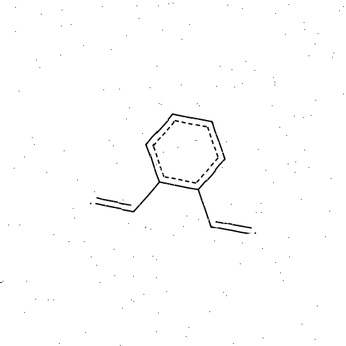 [CH]=Cc1ccccc1C=[CH]